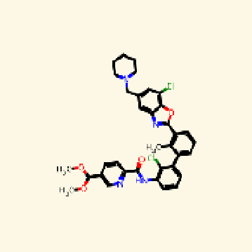 COC(OC)c1ccc(C(=O)Nc2cccc(-c3cccc(-c4nc5cc(CN6CCCCC6)cc(Cl)c5o4)c3C)c2Cl)nc1